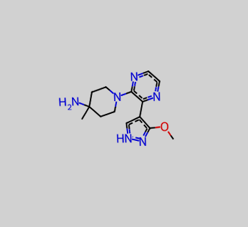 COc1n[nH]cc1-c1nccnc1N1CCC(C)(N)CC1